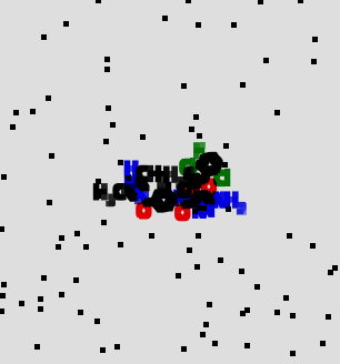 COB(C)C(Oc1cc(C(=O)Nc2ccc(C(=O)N3C[C@@H](C)N[C@@H](C)C3)cc2)nnc1N)c1c(Cl)ccc(F)c1Cl